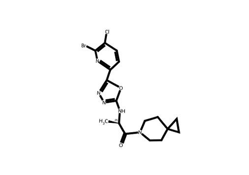 C[C@@H](Nc1nnc(-c2ccc(Cl)c(Br)n2)o1)C(=O)N1CCC2(CC1)CC2